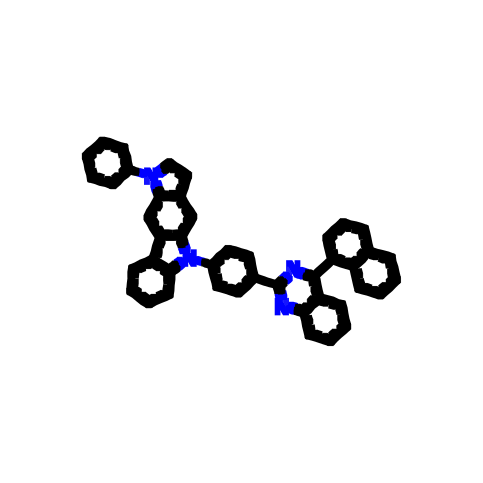 c1ccc(-n2ccc3cc4c(cc32)c2ccccc2n4-c2ccc(-c3nc(-c4cccc5ccccc45)c4ccccc4n3)cc2)cc1